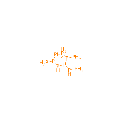 PPP(PP(P)P)P(P)P